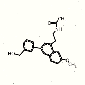 COc1ccc2cc(-c3cccc(CO)c3)cc(CCNC(C)=O)c2c1